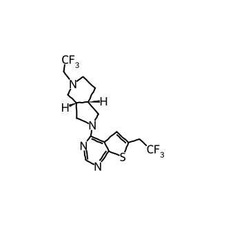 FC(F)(F)Cc1cc2c(N3C[C@H]4CCN(CC(F)(F)F)C[C@H]4C3)ncnc2s1